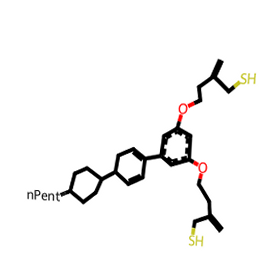 C=C(CS)CCOc1cc(OCCC(=C)CS)cc(C2=CCC(C3CCC(CCCCC)CC3)C=C2)c1